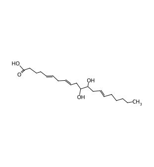 CCCCCC=CCC(O)C(O)CC=CCC=CCCCC(=O)O